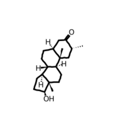 C[C@@H]1C[C@@]2(C)[C@@H](CC[C@@H]3[C@@H]2CC[C@]2(C)[C@@H](O)CC[C@@H]32)CC1=O